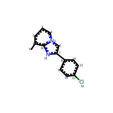 Cc1cccn2cc(-c3ccc(Cl)cc3)nc12